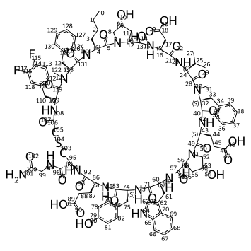 CCCC[C@H]1C(=O)N2C[C@H](O)C[C@@H]2C(=O)N[C@@H](CC(=O)O)C(=O)N[C@@H](C(C)C)C(=O)N(C)[C@@H](Cc2ccccc2)C(=O)N[C@@H](CCC(=O)O)C(=O)N2C[C@H](O)C[C@@H]2C(=O)N[C@@H](Cc2c[nH]c3ccccc23)C(=O)N[C@@H](Cc2ccc(O)cc2)C(=O)N[C@@H](CCC(=O)O)C(=O)N[C@H](C(=O)NCC(N)=O)CSCC(=O)N[C@@H](Cc2ccc(F)c(F)c2)C(=O)N(C)[C@@H](Cc2ccccc2)C(=O)N1C